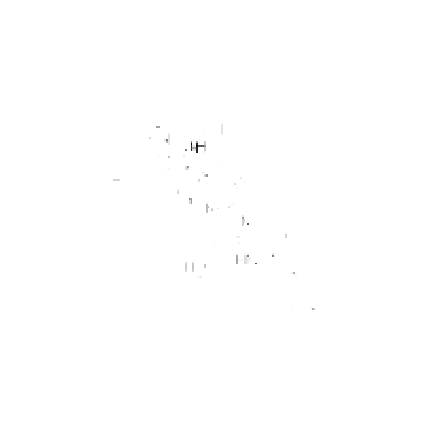 Cc1cn([C@@H]2O[C@]3(CO)[C@@H](O)[C@H]2N(C)[C@@H]3C)c(=O)nc1NC(=O)c1ccccc1